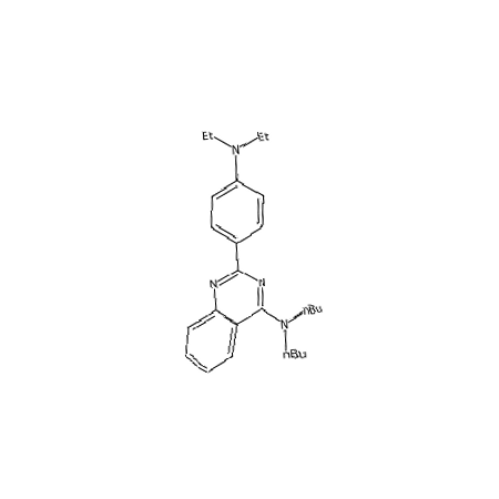 CCCCN(CCCC)c1nc(-c2ccc(N(CC)CC)cc2)nc2ccccc12